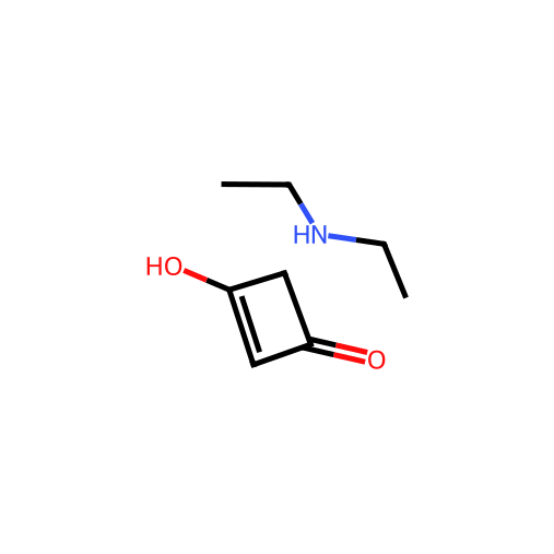 CCNCC.O=C1C=C(O)C1